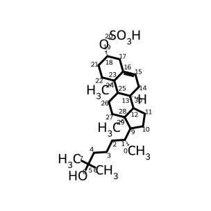 C[C@H](CCCC(C)(C)O)C1CCC2[C@@H]3CC=C4C[C@@H](OS(=O)(=O)O)CC[C@]4(C)C3CC[C@@]21C